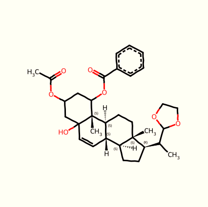 CC(=O)OC1CC(OC(=O)c2ccccc2)[C@]2(C)[C@H]3CC[C@]4(C)[C@@H](C(C)C5OCCO5)CC[C@H]4[C@@H]3C=CC2(O)C1